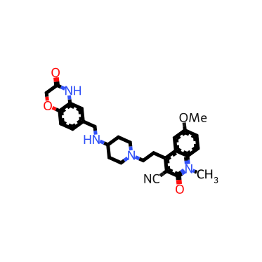 COc1ccc2c(c1)c(CCN1CCC(NCc3ccc4c(c3)NC(=O)CO4)CC1)c(C#N)c(=O)n2C